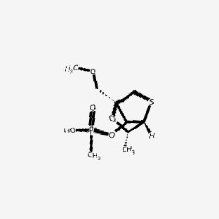 COC[C@]12CS[C@@H](C1OP(C)(=O)O)[C@H](C)O2